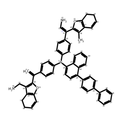 C=C(c1ccc(N(c2ccc(/C(=C/N)c3oc4c(c3C)C=CCC4)cc2)c2ccc(-c3ccc(-c4ccccc4)cc3)c3ccccc23)cc1)c1oc2c(c1CN)CCC=C2